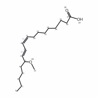 CCCCCC(/C=C/C=C\CCCCCCCC(=O)O)OC